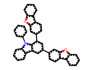 c1ccc(-n2c3ccccc3c3cc(-c4ccc5c(c4)oc4ccccc45)cc(-c4ccc5c(c4)oc4ccccc45)c32)cc1